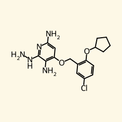 NNc1nc(N)cc(OCc2cc(Cl)ccc2OC2CCCC2)c1N